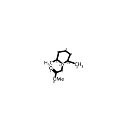 COC(=O)CN1C(C)CCCC1C